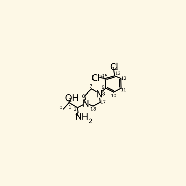 CC(O)C(N)N1CCN(c2cccc(Cl)c2Cl)CC1